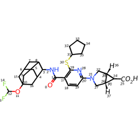 O=C(NC1C2CC3CC1CC(OC(F)F)(C3)C2)c1ccc(N2C[C@@H]3C(C(=O)O)[C@@H]3C2)nc1SC1CCCC1